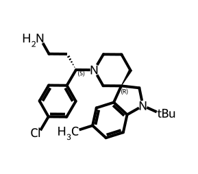 Cc1ccc2c(c1)[C@@]1(CCCN([C@@H](CCN)c3ccc(Cl)cc3)C1)CN2C(C)(C)C